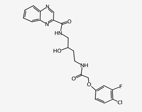 O=C(COc1ccc(Cl)c(F)c1)NCCC(O)CNC(=O)c1cnc2ccccc2n1